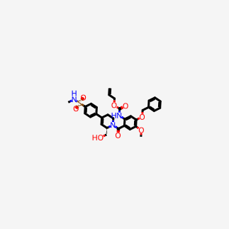 C=CCOC(=O)Nc1cc(OCc2ccccc2)c(OC)cc1C(=O)N1CCC(c2ccc(S(=O)(=O)NC)cc2)=C[C@H]1CO